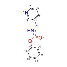 O=C(NCc1cccnc1)Oc1ccccc1